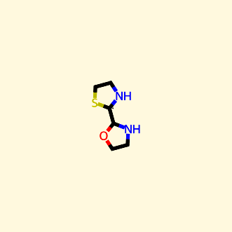 C1CS[C](C2NCCO2)N1